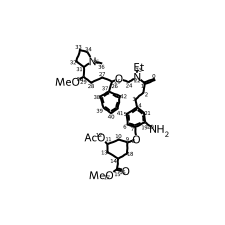 C=C(CCc1ccc(OC2CC(OC(C)=O)CC(C(=O)OC)C2)c(N)c1)N(CC)COC(CCC(OC)C1CCCN1C)c1ccccc1